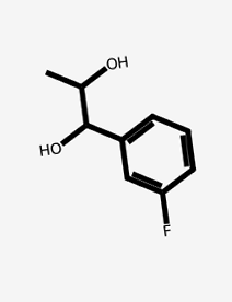 CC(O)C(O)c1cccc(F)c1